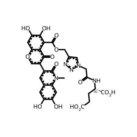 Cn1c(=O)c(-c2coc3cc(O)c(O)c(C(=O)OCc4cn(CC(=O)N[C@@H](CCC(=O)O)C(=O)O)nn4)c3c2=O)cc2cc(O)c(O)cc21